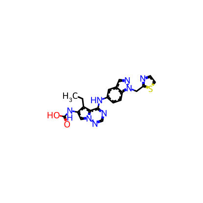 CCc1c(NC(=O)O)cn2ncnc(Nc3ccc4c(cnn4Cc4nccs4)c3)c12